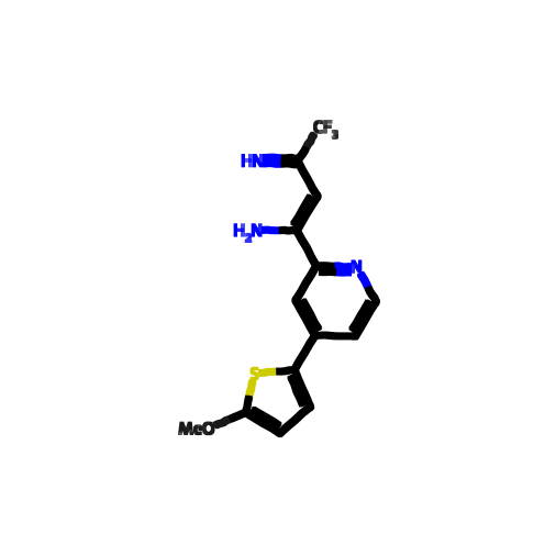 COc1ccc(-c2ccnc(/C(N)=C/C(=N)C(F)(F)F)c2)s1